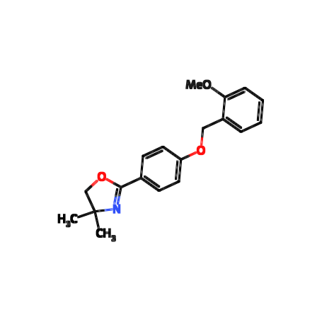 COc1ccccc1COc1ccc(C2=NC(C)(C)CO2)cc1